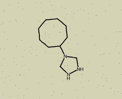 C1CCCC(N2CNNC2)CCC1